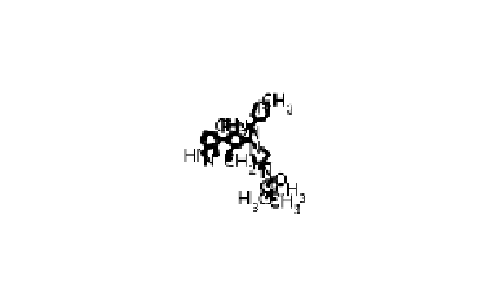 C=Cc1cc2c(N3CCC4(CC3)CN(C(=O)OC(C)(C)C)C4)nc(C3CCN(C)CC3)nc2c(F)c1-c1c(C)ccc2[nH]ncc12